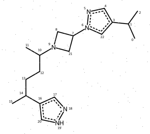 CC(C)c1cnn(C2CN(C(C)CCC(C)c3cn[nH]c3)C2)c1